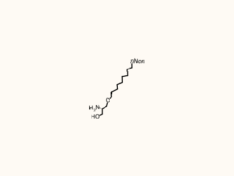 CCCCCCCCCCCCCCCCCCOC[C@@H](N)CO